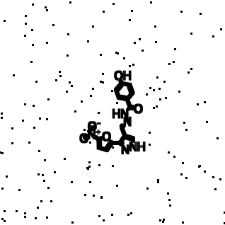 O=C(N/N=C/c1c[nH]nc1-c1ccc([N+](=O)[O-])o1)c1ccc(O)cc1